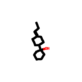 CCC=C1CCC(C2(O)CCCCC2)CC1